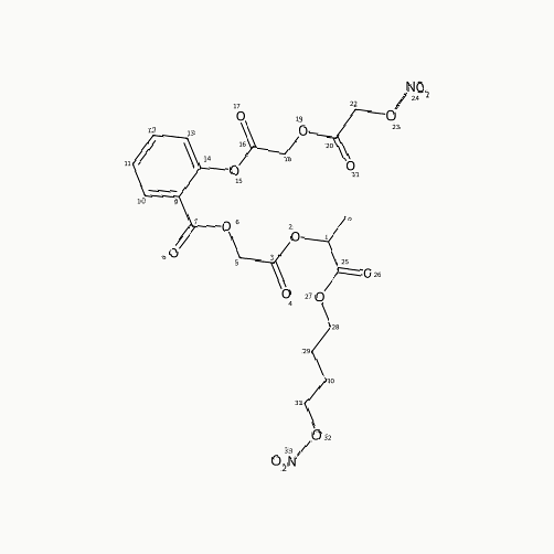 CC(OC(=O)COC(=O)c1ccccc1OC(=O)COC(=O)CO[N+](=O)[O-])C(=O)OCCCCO[N+](=O)[O-]